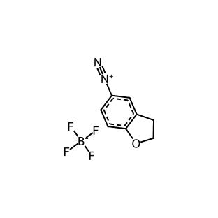 F[B-](F)(F)F.N#[N+]c1ccc2c(c1)CCO2